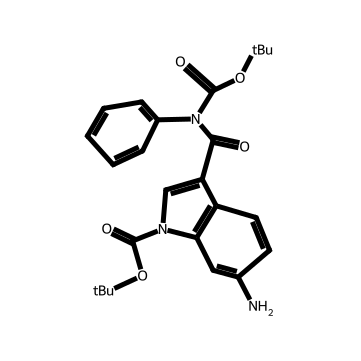 CC(C)(C)OC(=O)N(C(=O)c1cn(C(=O)OC(C)(C)C)c2cc(N)ccc12)c1ccccc1